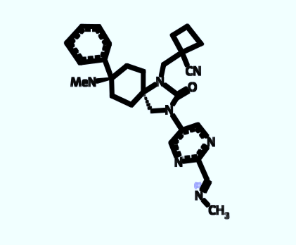 C/N=C/c1ncc(N2C[C@]3(CC[C@@](NC)(c4ccccc4)CC3)N(CC3(C#N)CCC3)C2=O)cn1